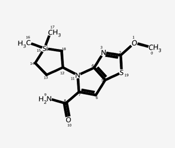 COc1nc2c(cc(C(N)=O)n2C2CC[Si](C)(C)C2)s1